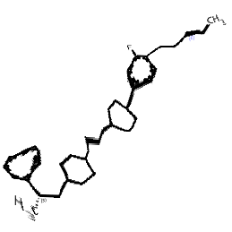 C/C=C/CCc1ccc(C2CCC(CCC3CCC(C[C@H](C)c4ccccc4)CC3)CC2)cc1F